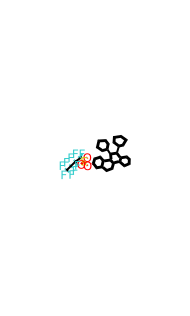 O=S(=O)(Oc1ccc2c(ccc3c4ccccc4c(-c4ccccc4)c(-c4ccccc4)c23)c1)C(F)(F)C(F)(F)C(F)(F)C(F)(F)F